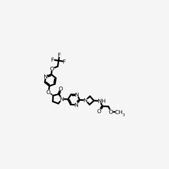 COCC(=O)NC1CN(c2ncc(N3CC[C@@H](Oc4ccc(OCC(F)(F)F)nc4)C3=O)cn2)C1